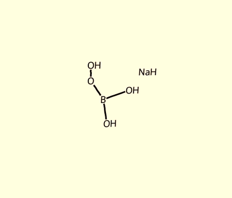 OOB(O)O.[NaH]